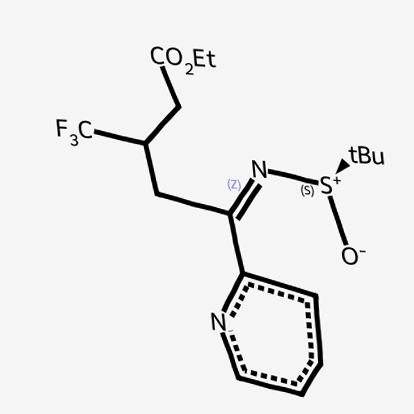 CCOC(=O)CC(C/C(=N/[S@+]([O-])C(C)(C)C)c1ccccn1)C(F)(F)F